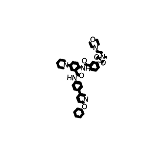 CN(CCN1CCOCC1)S(=O)(=O)c1cccc(C(=O)Nc2ccc(N3CCCCC3)cc2C(=O)Nc2ccc(-c3ccc(OC4CCCCC4)nc3)cc2)c1